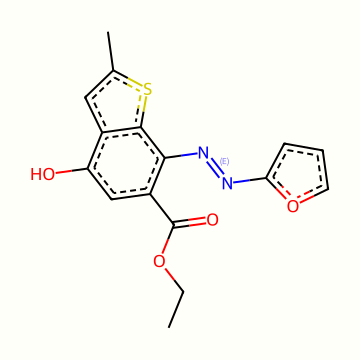 CCOC(=O)c1cc(O)c2cc(C)sc2c1/N=N/c1ccco1